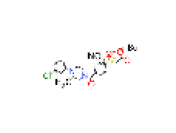 CCCCOC(=O)C[S+]([O-])c1ccc(C(=O)N2CCN(c3cccc(Cl)c3)C(C)C2)cc1[N+](=O)[O-]